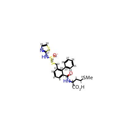 CSCC[C@H](NC(=O)c1cccc(CS[S+]([O-])Nc2nccs2)c1-c1ccccc1)C(=O)O